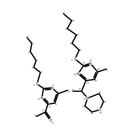 CCCCCCSc1nc(C)cc(C(C)=O)n1.CCCCCCSc1nc(C)cc(C(C)N2CCOCC2)n1